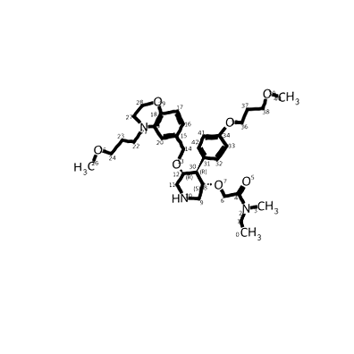 CCN(C)C(=O)CO[C@@H]1CNC[C@H](OCc2ccc3c(c2)N(CCCOC)CCO3)[C@H]1c1ccc(OCCCOC)cc1